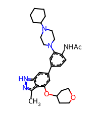 CC(=O)Nc1ccc(-c2cc(OC3CCOCC3)c3c(C)n[nH]c3c2)cc1N1CCN(C2CCCCC2)CC1